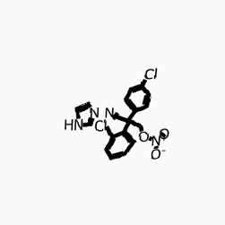 N#CC(CO[N+](=O)[O-])(c1ccc(Cl)cc1)c1ccccc1Cl.c1c[nH]cn1